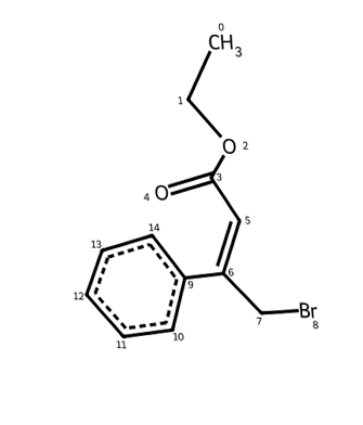 CCOC(=O)/C=C(/CBr)c1ccccc1